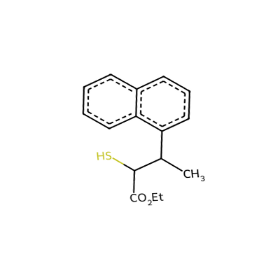 CCOC(=O)C(S)C(C)c1cccc2ccccc12